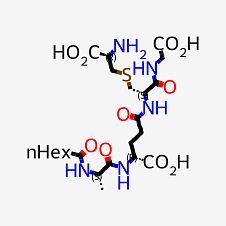 CCCCCCC(=O)N[C@@H](C)C(=O)N[C@H](CCC(=O)N[C@H](CSC[C@H](N)C(=O)O)C(=O)NCC(=O)O)C(=O)O